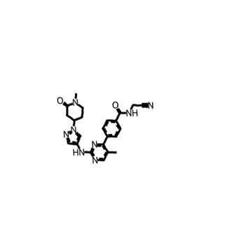 Cc1cnc(Nc2cnn(C3CCN(C)C(=O)C3)c2)nc1-c1ccc(C(=O)NCC#N)cc1